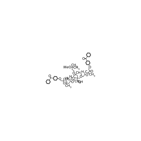 COC(C)(C)CCOC(C)(C)CC(CO)(COCCOC(C)(C)C(=O)COc1ccc(C(=O)c2ccccc2)cc1)CC(C)(C)OCCC(C)(C)OC(=O)COc1ccc(C(=O)c2ccccc2)cc1